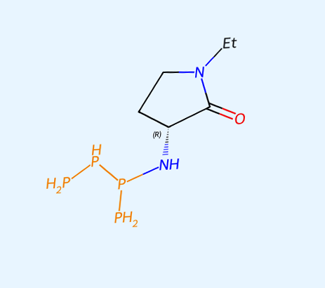 CCN1CC[C@@H](NP(P)PP)C1=O